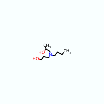 CCCCN(CCCO)CC(C)O